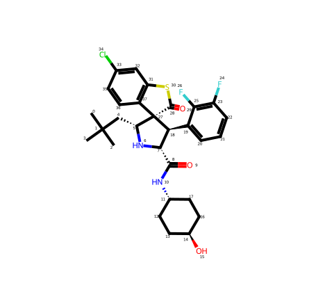 CC(C)(C)C[C@H]1N[C@@H](C(=O)N[C@H]2CC[C@H](O)CC2)[C@H](c2cccc(F)c2F)[C@@]12C(=O)Sc1cc(Cl)ccc12